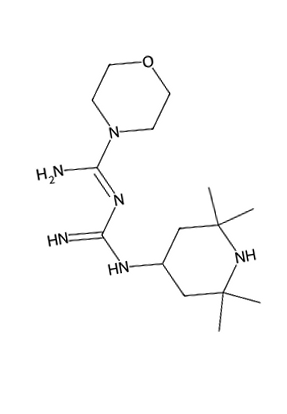 CC1(C)CC(NC(=N)/N=C(\N)N2CCOCC2)CC(C)(C)N1